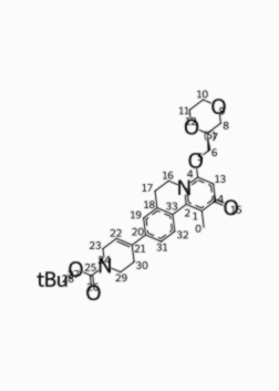 Cc1c2n(c(OC[C@@H]3COCCO3)cc1=O)CCc1cc(C3=CCN(C(=O)OC(C)(C)C)CC3)ccc1-2